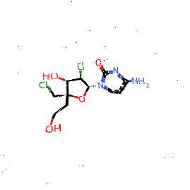 Nc1ccn([C@@H]2O[C@](CCl)(CCO)[C@@H](O)[C@H]2Cl)c(=O)n1